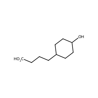 O=C(O)CCCC1CCC(O)CC1